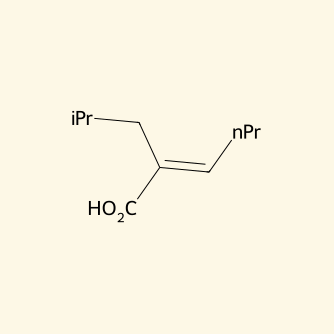 CCCC=C(CC(C)C)C(=O)O